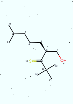 CC(C)CCC[C@@H](CO)C(=S)C(C)(C)C